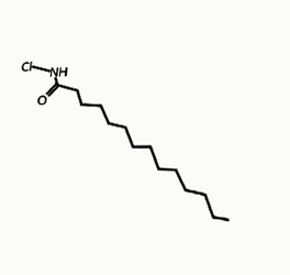 CCCCCCCCCCCCCC(=O)NCl